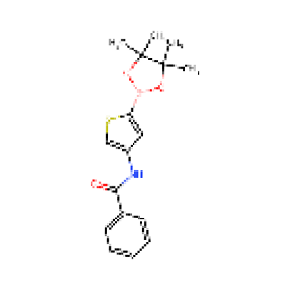 CC1(C)OB(c2cc(NC(=O)c3ccccc3)cs2)OC1(C)C